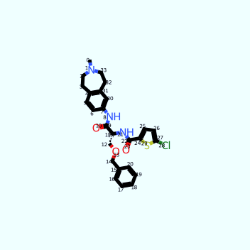 CN1CCc2ccc(NC(=O)[C@@H](COCc3ccccc3)NC(=O)c3ccc(Cl)s3)cc2CC1